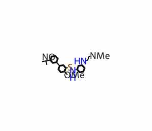 CNCCNc1cccc(NSc2cc(-c3cccc(C(C)(C)N=O)c3)ccc2OC)c1